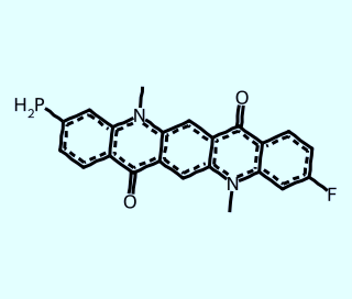 Cn1c2cc(F)ccc2c(=O)c2cc3c(cc21)c(=O)c1ccc(P)cc1n3C